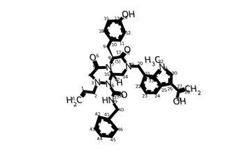 C=CCN1CC(=O)N2[C@@H](Cc3ccc(O)cc3)C(=O)N(Cc3cccc4c(C(=C)O)cn(C)c34)C[C@@H]2N1C(=O)NCc1ccccc1